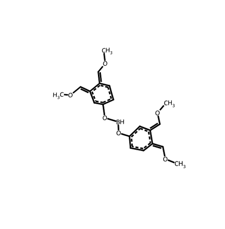 COC=c1ccc(OBOc2ccc(=COC)c(=COC)c2)cc1=COC